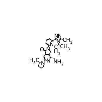 Cc1nnc(-c2cccc(N3Cc4c(cc(N5CCC[C@H]5C)nc4CN)C3=O)n2)n1C(C)C